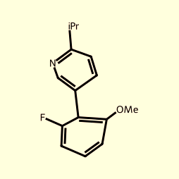 COc1cccc(F)c1-c1ccc(C(C)C)nc1